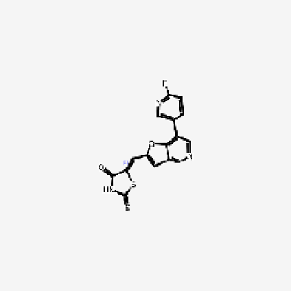 O=C1NC(=S)S/C1=C\c1cc2cncc(-c3ccc(F)nc3)c2o1